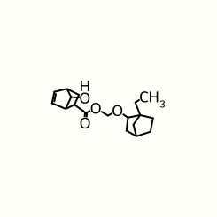 CCC12CCC(CC1OCOC(=O)C1CC3C=CC1C3O)C2